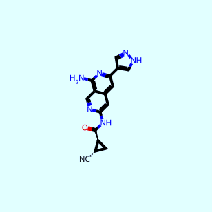 N#C[C@H]1C[C@@H]1C(=O)Nc1cc2cc(-c3cn[nH]c3)nc(N)c2cn1